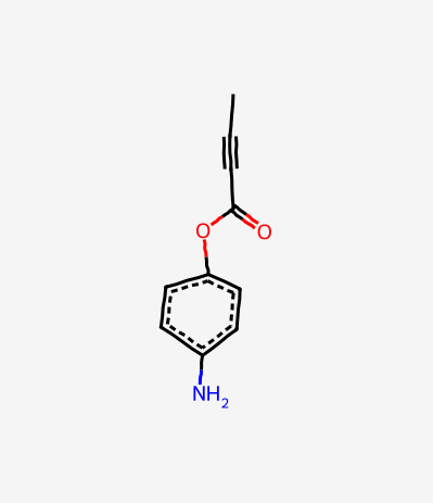 CC#CC(=O)Oc1ccc(N)cc1